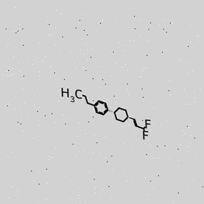 CCCc1ccc([C@H]2CC[C@H](/C=C/C(F)F)CC2)cc1